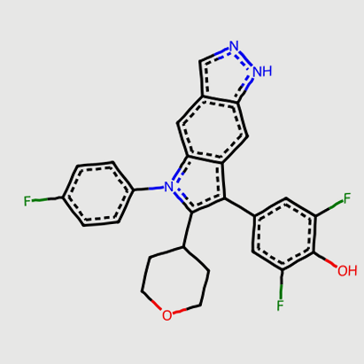 Oc1c(F)cc(-c2c(C3CCOCC3)n(-c3ccc(F)cc3)c3cc4cn[nH]c4cc23)cc1F